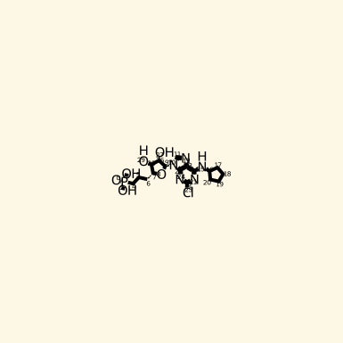 O=P(O)(O)CCC[C@H]1O[C@@H](n2cnc3c(NC4CCCC4)nc(Cl)nc32)[C@@H](O)C1O